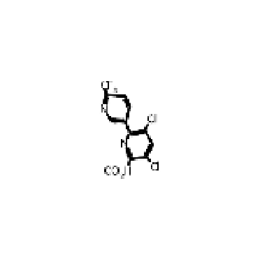 O=C(O)c1nc(-c2ccc(C(F)(F)F)nc2)c(Cl)cc1Cl